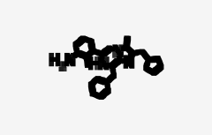 C=c1c(CC2=CC=CC2)nc2n1C=C(c1cccc(N)c1C)NC=2Cc1ccccc1